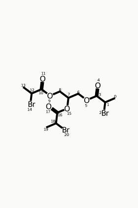 CC(Br)C(=O)OCC(COC(=O)C(C)Br)OC(=O)C(C)Br